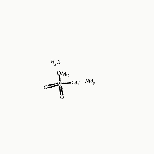 COS(=O)(=O)O.N.O